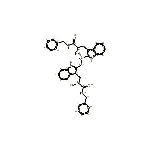 N[C@H](Cc1c([Se][Se]c2[nH]c3ccccc3c2C[C@@H](N)C(=O)NCc2ccccc2)[nH]c2ccccc12)C(=O)NCc1ccccc1